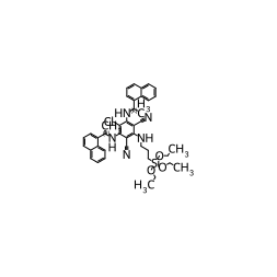 CCO[Si](CCCNc1c(C#N)c(N[C@H](C)c2cccc3ccccc23)c(Cl)c(N[C@H](C)c2cccc3ccccc23)c1C#N)(OCC)OCC